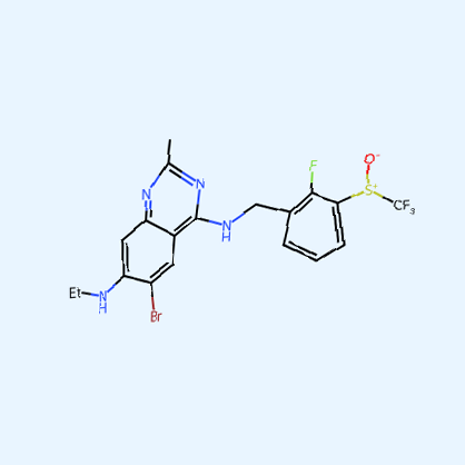 CCNc1cc2nc(C)nc(NCc3cccc([S+]([O-])C(F)(F)F)c3F)c2cc1Br